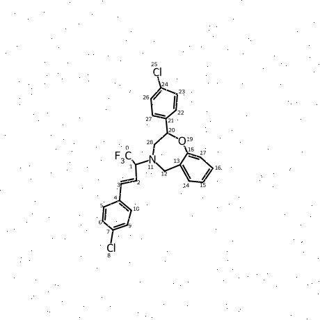 FC(F)(F)C(/C=C/c1ccc(Cl)cc1)N1Cc2ccccc2OC(c2ccc(Cl)cc2)C1